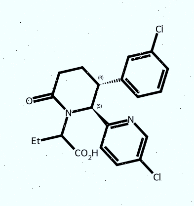 CCC(C(=O)O)N1C(=O)CC[C@H](c2cccc(Cl)c2)[C@H]1c1ccc(Cl)cn1